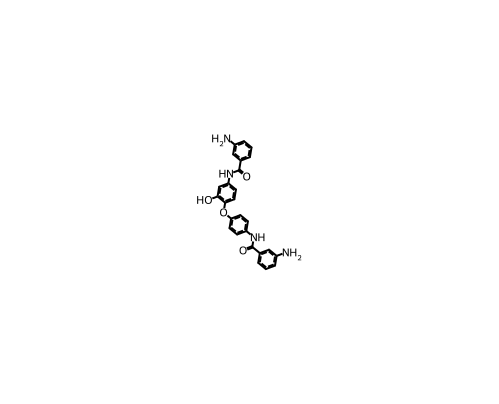 Nc1cccc(C(=O)Nc2ccc(Oc3ccc(NC(=O)c4cccc(N)c4)cc3O)cc2)c1